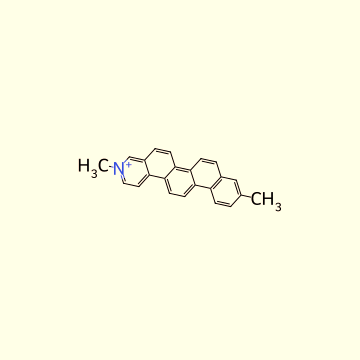 Cc1ccc2c(ccc3c2ccc2c4cc[n+](C)cc4ccc23)c1